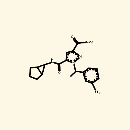 CNC(=O)c1cc(C(=O)NC2C3CCCC32)n(C(C)c2cccc(C(F)(F)F)c2)n1